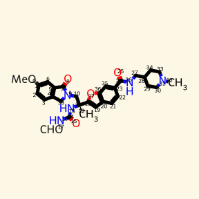 COc1ccc2c(c1)C(=O)N(C[C@](C)(NC(=O)NC=O)c1cc3ccc(C(=O)NCC4CCN(C)CC4)cc3o1)C2